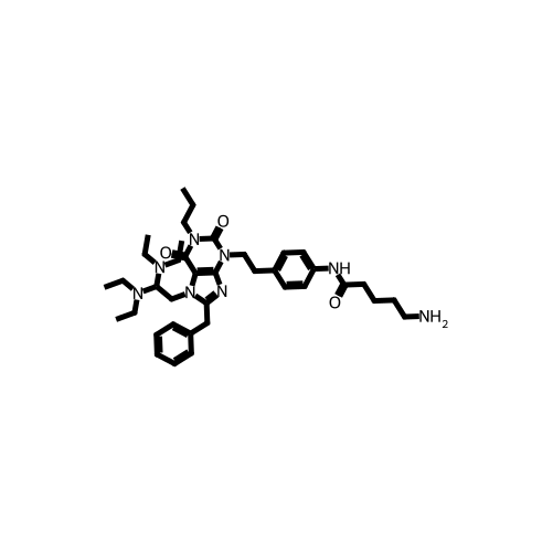 CCCn1c(=O)c2c(nc(Cc3ccccc3)n2CC(N(CC)CC)N(CC)CC)n(CCc2ccc(NC(=O)CCCCN)cc2)c1=O